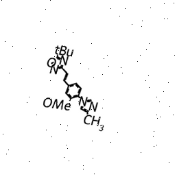 COc1cc(/C=C/c2noc(C(C)(C)C)n2)ccc1-n1cnc(C)c1